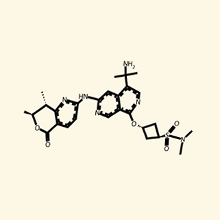 C[C@@H]1OC(=O)c2ccc(Nc3cc4c(C(C)(C)N)cnc(O[C@H]5C[C@H](S(=O)(=O)N(C)C)C5)c4cn3)nc2[C@H]1C